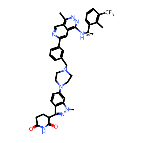 Cc1c([C@@H](C)Nc2nnc(C)c3cnc(-c4cccc(CN5CCN(c6ccc7c(C8CCC(=O)NC8=O)nn(C)c7c6)CC5)c4)cc23)cccc1C(F)(F)F